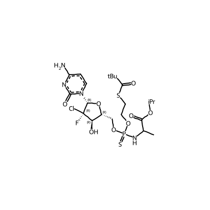 CC(C)OC(=O)C(C)NP(=S)(OCCSC(=O)C(C)(C)C)OC[C@H]1O[C@@H](n2ccc(N)nc2=O)[C@](F)(Cl)[C@@H]1O